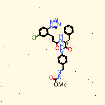 COC(=O)N=NCc1ccc(NC(=O)[C@H](Cc2ccccc2)NC(=O)/C=C/c2cc(Cl)ccc2-n2cnnn2)cc1